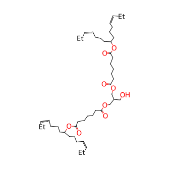 CC/C=C\CCCC(CCC/C=C\CC)OC(=O)CCCCCC(=O)OCC(CO)COC(=O)CCCCCC(=O)OC(CCC/C=C\CC)CCC/C=C\CC